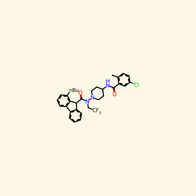 CCCCc1cccc2c1C(C(=O)N(CC(F)(F)F)N1CCC(NC(=O)c3cc(Cl)ccc3C)CC1)c1ccccc1-2